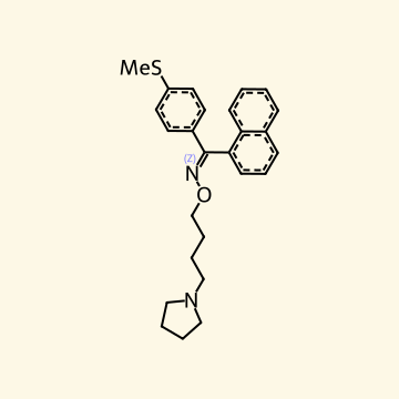 CSc1ccc(/C(=N/OCCCCN2CCCC2)c2cccc3ccccc23)cc1